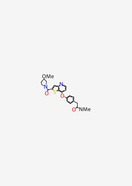 CNC(=O)Cc1ccc(Oc2ccnc3cc(C(=O)N4CCC(OC)C4)sc23)cc1